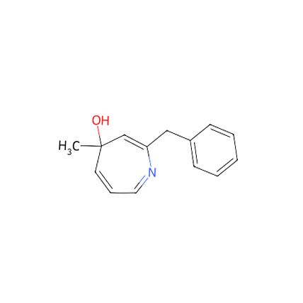 CC1(O)C=CC=NC(Cc2ccccc2)=C1